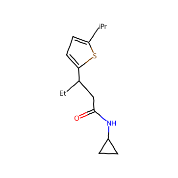 CCC(CC(=O)NC1CC1)c1ccc(C(C)C)s1